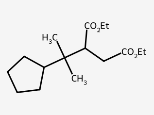 CCOC(=O)CC(C(=O)OCC)C(C)(C)C1CCCC1